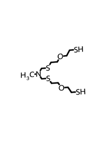 CN(CSCCOCCS)CSCCOCCS